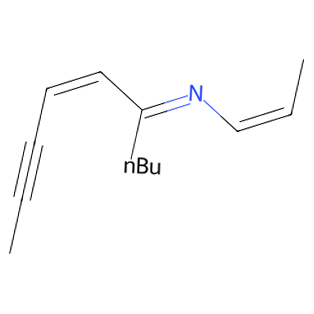 CC#C\C=C/C(CCCC)=N/C=C\C